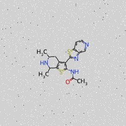 CC(=O)Nc1sc2c(c1-c1nc3cnccc3s1)CC(C)NC2C